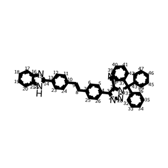 N#Cc1c(-c2ccc(/C=C/c3ccc(-c4nc5ccccc5[nH]4)cc3)cc2)nnn1C(c1ccccc1)(c1ccccc1)c1ccccc1